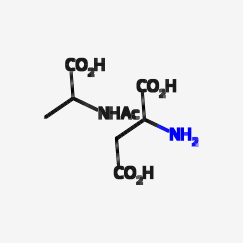 CC(=O)NC(C)C(=O)O.NC(CC(=O)O)C(=O)O